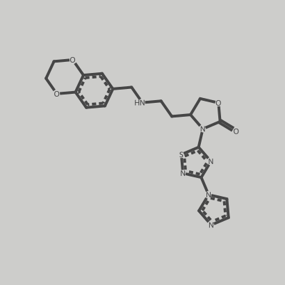 O=C1OCC(CCNCc2ccc3c(c2)OCCO3)N1c1nc(-n2ccnc2)ns1